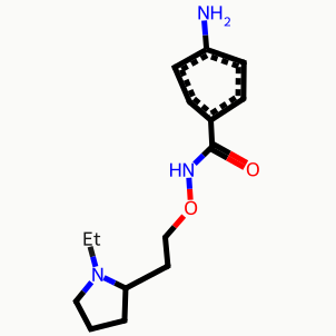 CCN1CCCC1CCONC(=O)c1ccc(N)cc1